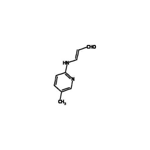 Cc1ccc(NC=CC=O)nc1